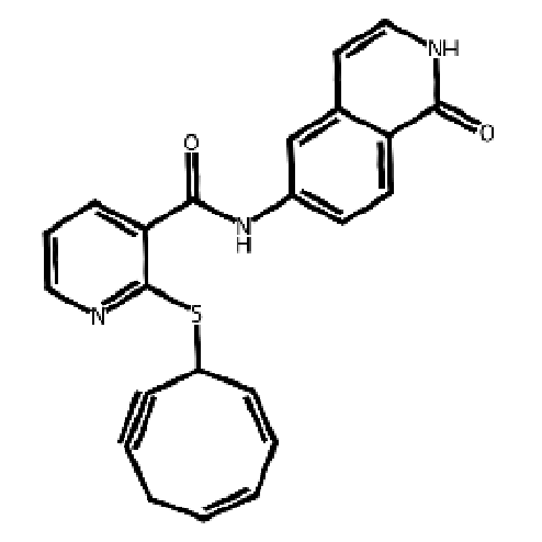 O=C(Nc1ccc2c(=O)[nH]ccc2c1)c1cccnc1SC1C#CC/C=C\C=C/1